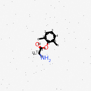 Cc1cccc(C)c1OC(=O)[C@@H](C)N